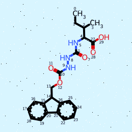 CCC(C)C(NC(=O)NNC(=O)OCC1c2ccccc2-c2ccccc21)C(=O)O